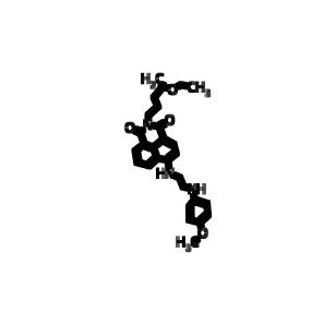 C=C(CCCN1C(=O)c2cccc3c(NCCNc4ccc(OC)cc4)ccc(c23)C1=O)OCC